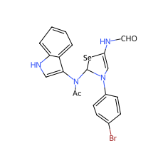 CC(=O)N(c1c[nH]c2ccccc12)C1[Se]C(NC=O)=CN1c1ccc(Br)cc1